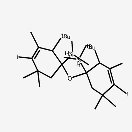 CC1=C(I)C(C)(C)CC(OC2([SiH](C)C)CC(C)(C)C(I)=C(C)C2C(C)(C)C)([SiH](C)C)C1C(C)(C)C